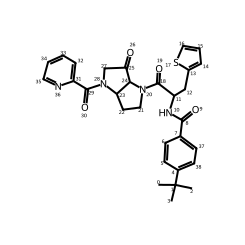 CC(C)(C)c1ccc(C(=O)NC(Cc2cccs2)C(=O)N2CCC3C2C(=O)CN3C(=O)c2ccccn2)cc1